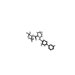 Cc1cccc(-c2ccc(CN3CCNCC3C(=O)OC(C(F)(F)F)C(F)(F)F)c(C)c2)n1